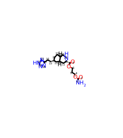 NC(=O)OCCCOC(=O)[C@@H]1C[C@H]2C[C@@H](CCc3nn[nH]n3)CC[C@H]2CN1